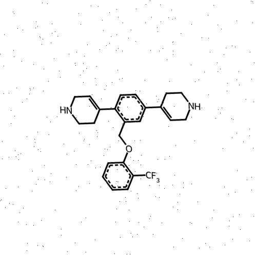 FC(F)(F)c1ccccc1OCc1cc(C2=CCNCC2)ccc1C1=CCNCC1